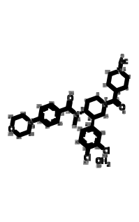 CC(=O)N1CCC(C(=O)N2CC[C@@H](N(C)C(=O)c3ccc(N4CCOCC4)cc3)[C@H](c3ccc(Cl)c(Cl)c3)C2)CC1.O